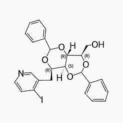 OC[C@H]1OC(c2ccccc2)O[C@@H]2[C@@H]1OC(c1ccccc1)O[C@@H]2Cc1cnccc1I